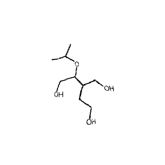 CC(C)OC(CO)C(CO)CCO